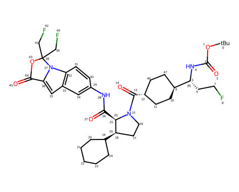 CC(C)(C)OC(=O)N[C@H](CCF)[C@H]1CC[C@H](C(=O)N2CC[C@@H](C3CCCCC3)[C@H]2C(=O)Nc2ccc3c(c2)cc2n3C(CF)(CF)OC2=O)CC1